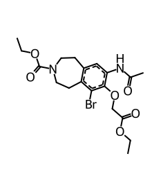 CCOC(=O)COc1c(NC(C)=O)cc2c(c1Br)CCN(C(=O)OCC)CC2